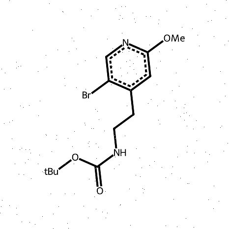 COc1cc(CCNC(=O)OC(C)(C)C)c(Br)cn1